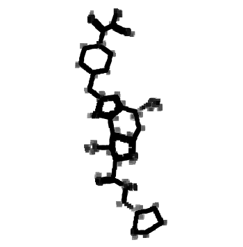 CCC(=O)C(=O)N1CCC(Cn2cc3c(n2)-c2c(oc(C(=O)NC[C@@H]4CCCO4)c2C(F)(F)F)C[C@H]3C)CC1